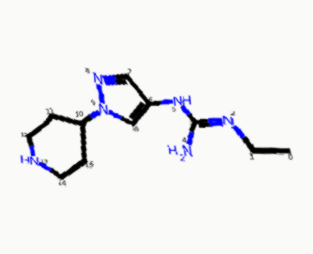 CC/N=C(\N)Nc1cnn(C2CCNCC2)c1